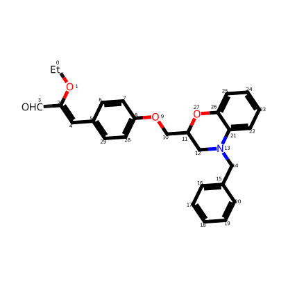 CCO/C(C=O)=C\c1ccc(OCC2CN(Cc3ccccc3)c3ccccc3O2)cc1